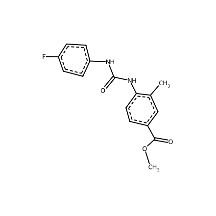 COC(=O)c1ccc(NC(=O)Nc2ccc(F)cc2)c(C)c1